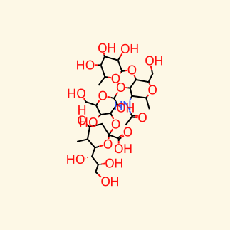 CC(=O)NC1C(C)OC(CO)C(OC2OC(C)C(O)C(O)C2O)C1OC1OC(CO)C(O)C(OC2(C(=O)O)CC(O)C(C)C([C@@H](O)[C@@H](O)CO)O2)C1O